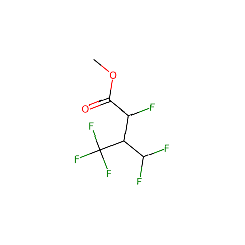 COC(=O)C(F)C(C(F)F)C(F)(F)F